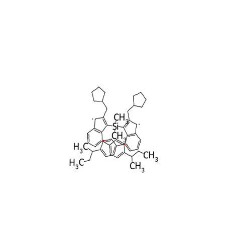 CCC(C)c1ccc(-c2cccc3c2C([Si](C)(C)C2=C(CC4CCCC4)[CH]c4cccc(-c5ccc(C(C)CC)cc5)c42)=C(CC2CCCC2)[CH]3)cc1